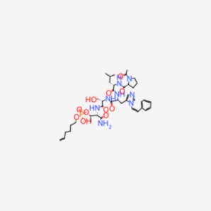 C=CCCCCOP(=O)(O)O[C@H](C)[C@H](NC(=O)[C@H](CO)NC(=O)[C@H](Cc1cncn1/C=C\c1ccccc1)NC(=O)[C@H](CC(C)C)NC(=O)[C@@H]1CCCN1C(C)=O)C(N)=O